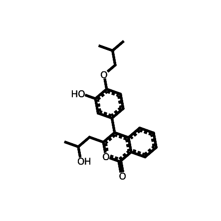 CC(C)COc1ccc(-c2c(CC(C)O)oc(=O)c3ccccc23)cc1O